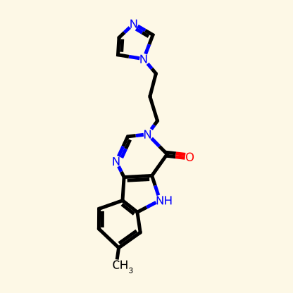 Cc1ccc2c(c1)[nH]c1c(=O)n(CCCn3ccnc3)cnc12